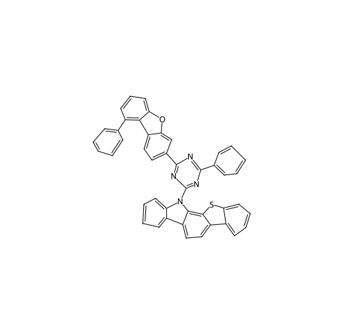 c1ccc(-c2nc(-c3ccc4c(c3)oc3cccc(-c5ccccc5)c34)nc(-n3c4ccccc4c4ccc5c6ccccc6sc5c43)n2)cc1